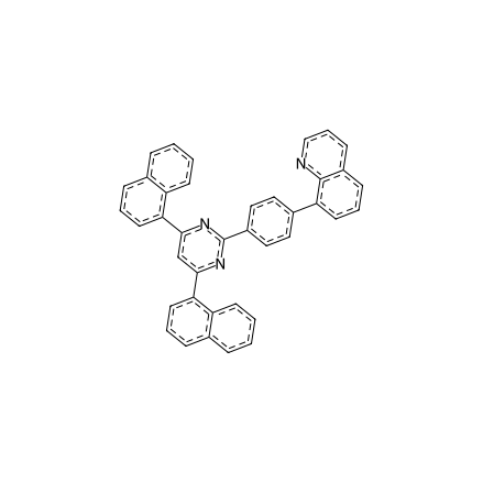 c1ccc2c(-c3cc(-c4cccc5ccccc45)nc(-c4ccc(-c5cccc6cccnc56)cc4)n3)cccc2c1